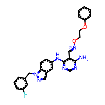 Nc1ncnc(Nc2ccc3c(cnn3Cc3cccc(F)c3)c2)c1/C=N/OCCOc1ccccc1